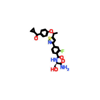 CC(Oc1ccc(C(=O)C2CC2)cc1)c1cc(-c2ccc(C(=O)N[C@@H](CO)C(N)=O)c(F)c2)ns1